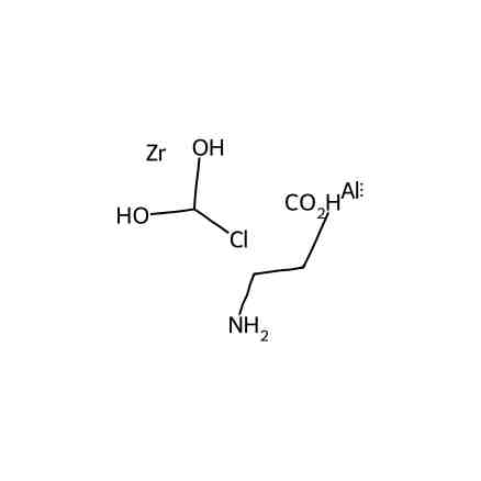 NCCC(=O)O.OC(O)Cl.[Al].[Zr]